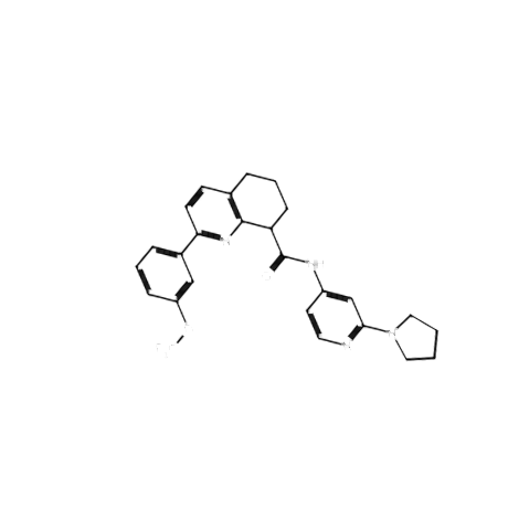 O=C(Nc1ccnc(N2CCCC2)c1)C1CCCc2ccc(-c3cccc(OC(F)(F)F)c3)nc21